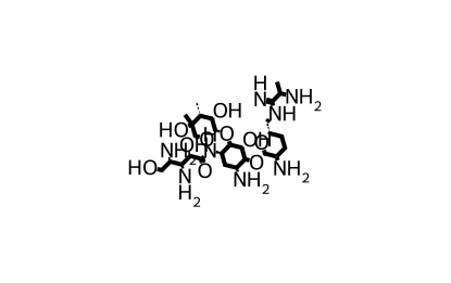 CC(N)C(=N)NC[C@@H]1CCC(N)[C@@H](OC2C(O)C(O[C@H]3OCC(C)(O)[C@H](C)C3O)[C@H](NC(=O)[C@@H](O)[C@@H](N)[C@@H](N)CO)C[C@@H]2N)O1